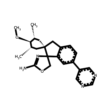 CO[C@H]1[C@H](C)C[C@@]2(Cc3ccc(-c4cncnc4)cc3C23COC(N)=N3)C[C@@H]1C